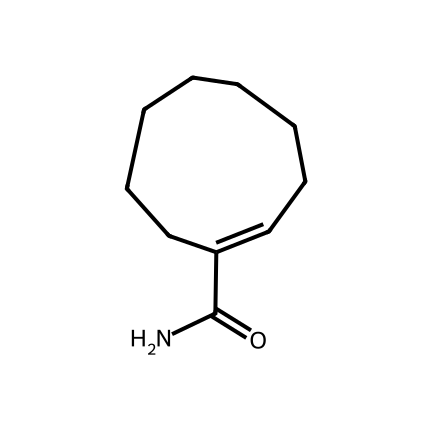 NC(=O)C1=CCCCCCCC1